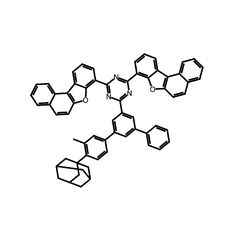 Cc1cc(-c2cc(-c3ccccc3)cc(-c3nc(-c4cccc5c4oc4ccc6ccccc6c45)nc(-c4cccc5c4oc4ccc6ccccc6c45)n3)c2)ccc1C12CC3CC(CC(C3)C1)C2